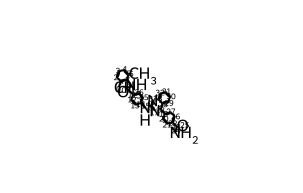 Cc1cccc(C)c1NC(=O)c1ccc(Nc2nc(-c3ccc(C(N)=O)cc3)c3ccccc3n2)cc1